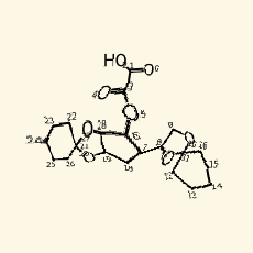 O=C(O)C(=O)OC1C(C2COC3(CCCCC3)O2)CC2OC3(CCCCC3)OC21